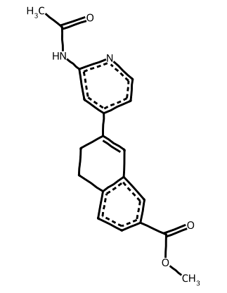 COC(=O)c1ccc2c(c1)C=C(c1ccnc(NC(C)=O)c1)CC2